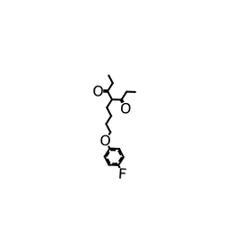 CCC(=O)C(CCCCOc1ccc(F)cc1)C(=O)CC